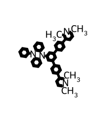 Cc1ccc(-c2ccc(-c3cc(-c4ccc(-c5ccc(C)nc5C)cc4)cc(N4c5ccccc5N(c5ccccc5)c5ccccc54)c3)cc2)c(C)n1